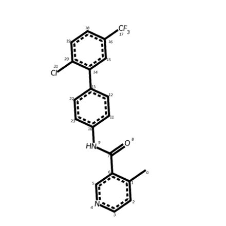 Cc1ccncc1C(=O)Nc1ccc(-c2cc(C(F)(F)F)ccc2Cl)cc1